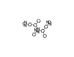 C1=CC(c2cc(-c3ccc(-c4ncccn4)cc3)cc(-c3nc(-c4ccccc4)nc(-c4cc(-c5ccccc5)cc(-c5ccc(-c6ncccn6)cc5)c4)n3)c2)=CCC1